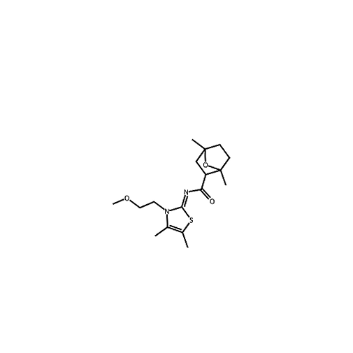 COCCn1c(C)c(C)s/c1=N\C(=O)C1CC2(C)CCC1(C)O2